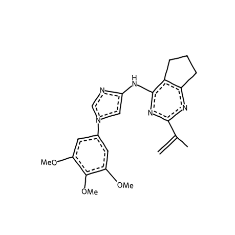 C=C(C)c1nc2c(c(Nc3cn(-c4cc(OC)c(OC)c(OC)c4)cn3)n1)CCC2